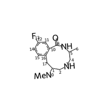 CNC1CNCC(C)NC(=O)c2cc(F)ccc2C1